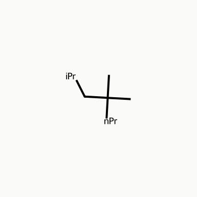 CCCC(C)(C)CC(C)C